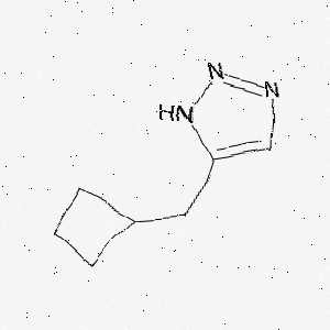 c1nn[nH]c1CC1CCC1